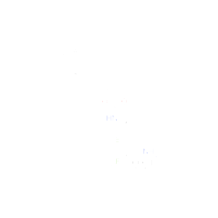 NC(CCCNC(=O)OCC=Cc1ccccc1)(C(=O)O)C(F)F